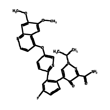 COc1cc2nccc(Oc3ccc(-c4cc(F)ccc4-c4cn(C(C)C)nc(C(N)=O)c4=O)nc3)c2cc1OC